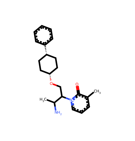 Cc1cccn(C(CO[C@H]2CC[C@@H](c3ccccc3)CC2)C(C)N)c1=O